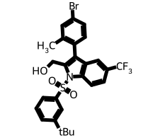 Cc1cc(Br)ccc1-c1c(CO)n(S(=O)(=O)c2cccc(C(C)(C)C)c2)c2ccc(C(F)(F)F)cc12